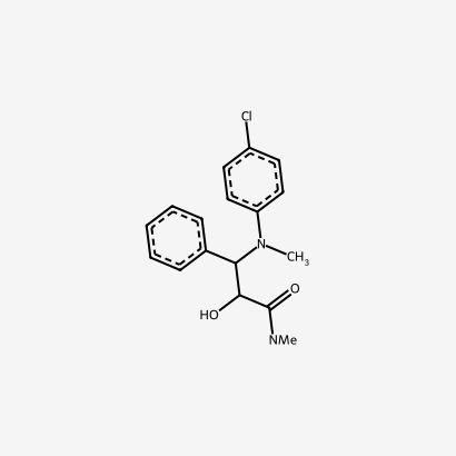 CNC(=O)C(O)C(c1ccccc1)N(C)c1ccc(Cl)cc1